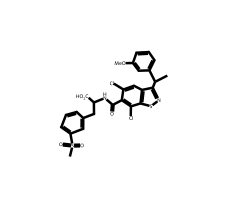 COc1cccc(C(C)c2nsc3c(Cl)c(C(=O)NC(Cc4cccc(S(C)(=O)=O)c4)C(=O)O)c(Cl)cc23)c1